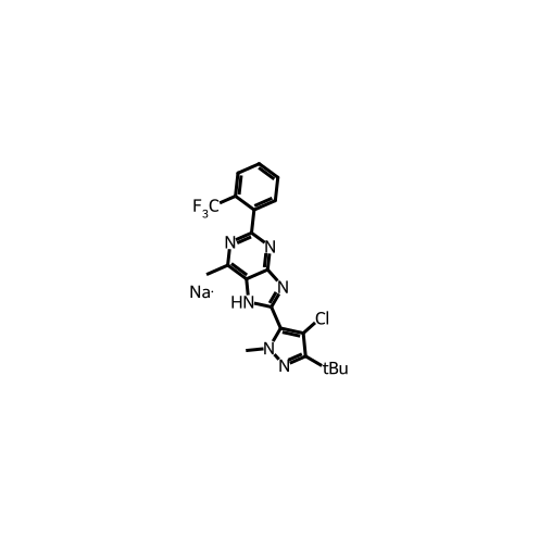 Cc1nc(-c2ccccc2C(F)(F)F)nc2nc(-c3c(Cl)c(C(C)(C)C)nn3C)[nH]c12.[Na]